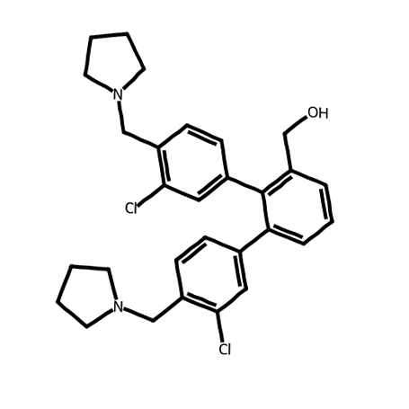 OCc1cccc(-c2ccc(CN3CCCC3)c(Cl)c2)c1-c1ccc(CN2CCCC2)c(Cl)c1